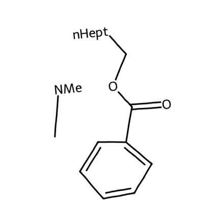 CCCCCCCCOC(=O)c1ccccc1.CNC